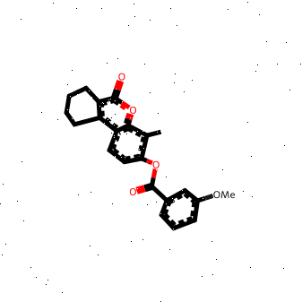 COc1cccc(C(=O)Oc2ccc3c4c(c(=O)oc3c2C)CCCC4)c1